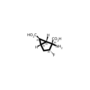 N[C@@]1(C(=O)O)[C@@H]2[C@H](C[C@H]1F)[C@H]2C(=O)O